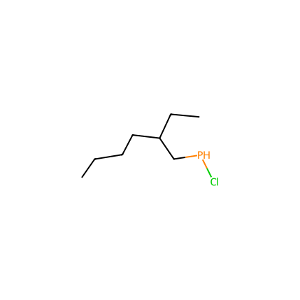 CCCCC(CC)CPCl